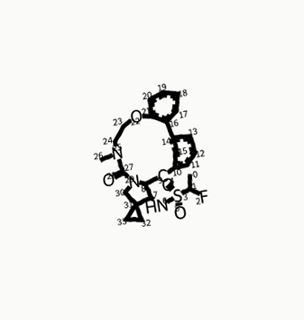 CC(F)S(=O)(=O)NC1C2Cc3cccc(c3)-c3ccccc3OCCN(C)C(=O)N2CC12CC2